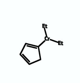 C[CH2][Cr]([CH2]C)[C]1=CC=CC1